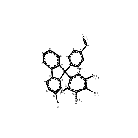 Bc1c(B)c(B)c(C2(c3ccc(C=C)cc3)c3ccccc3-c3ccc(Cl)cc32)c(B)c1B